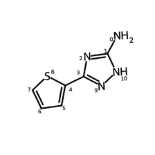 Nc1nc(-c2cccs2)n[nH]1